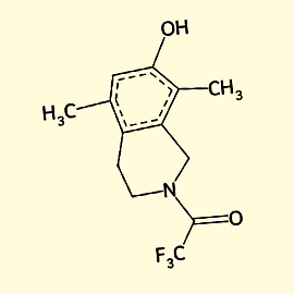 Cc1cc(O)c(C)c2c1CCN(C(=O)C(F)(F)F)C2